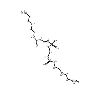 COCCOCCOC(=O)OCOP(=O)(I)OCOC(=O)OCCOCCOC